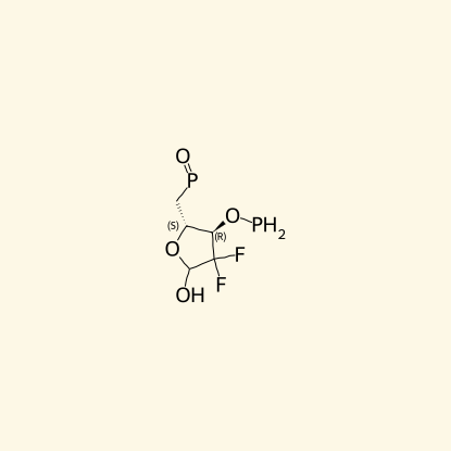 O=PC[C@H]1OC(O)C(F)(F)[C@@H]1OP